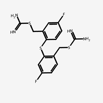 N=C(N)SCc1cc(F)ccc1Sc1cc(F)ccc1CSC(=N)N